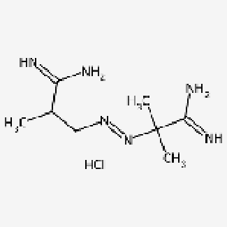 CC(CN=NC(C)(C)C(=N)N)C(=N)N.Cl